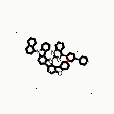 c1ccc(-c2ccc(-c3nc(-n4c5c(ccc6oc7ccccc7c65)c5ccc6c(c7ccccc7n6-c6cccc7ccccc67)c54)nc4ccccc34)cc2)cc1